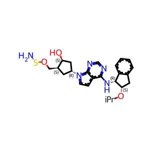 CC(C)O[C@H]1Cc2ccccc2[C@H]1Nc1ncnc2c1ccn2[C@@H]1C[C@@H](COSN)[C@@H](O)C1